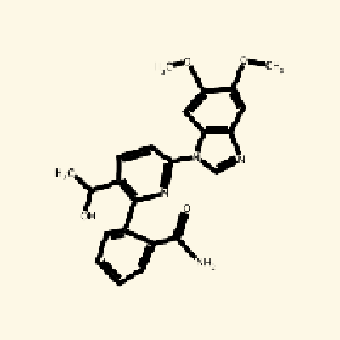 COc1cc2ncn(-c3ccc(C(C)O)c(-c4ccccc4C(N)=O)n3)c2cc1OC